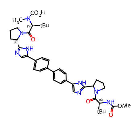 COC(=O)N[C@H](C(=O)N1CCCC1c1ncc(-c2ccc(-c3ccc(-c4cnc([C@@H]5CCCN5C(=O)[C@@H](N(C)C(=O)O)C(C)(C)C)[nH]4)cc3)cc2)[nH]1)C(C)(C)C